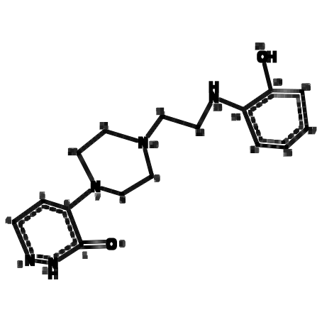 O=c1[nH]nccc1N1CCN(CCNc2ccccc2O)CC1